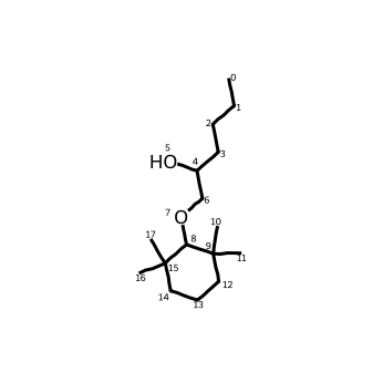 CCCCC(O)COC1C(C)(C)CCCC1(C)C